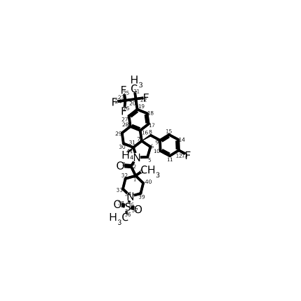 CC1(C(=O)N2CC[C@@]3(Cc4ccc(F)cc4)c4ccc(C(C)(F)C(F)(F)F)cc4CC[C@@H]23)CCN(S(C)(=O)=O)CC1